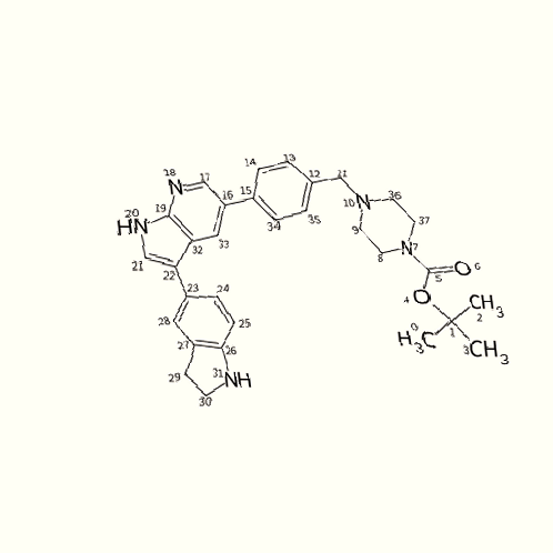 CC(C)(C)OC(=O)N1CCN(Cc2ccc(-c3cnc4[nH]cc(-c5ccc6c(c5)CCN6)c4c3)cc2)CC1